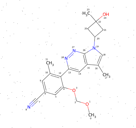 COCOc1cc(C#N)cc(C)c1-c1cc2c(C)cn(C3CC(C)(O)C3)c2nn1